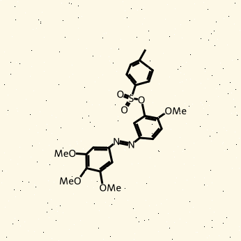 COc1ccc(N=Nc2cc(OC)c(OC)c(OC)c2)cc1OS(=O)(=O)c1ccc(C)cc1